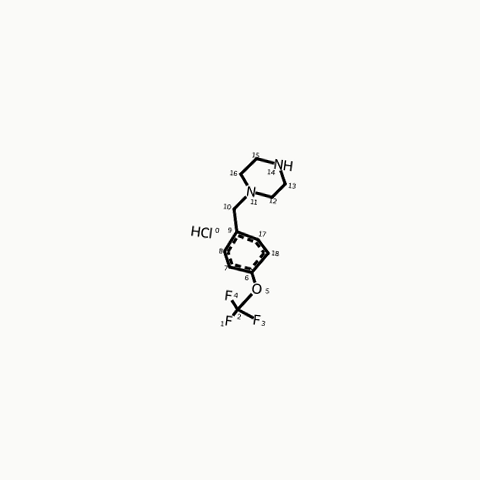 Cl.FC(F)(F)Oc1ccc(CN2CCNCC2)cc1